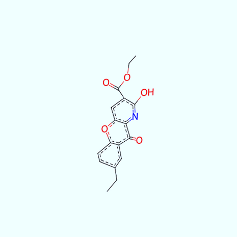 CCOC(=O)c1cc2oc3ccc(CC)cc3c(=O)c2nc1O